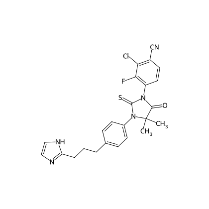 CC1(C)C(=O)N(c2ccc(C#N)c(Cl)c2F)C(=S)N1c1ccc(CCCc2ncc[nH]2)cc1